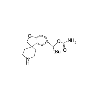 CC(C)(C)C(OC(N)=O)c1ccc2c(c1)C1(CCNCC1)CO2